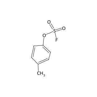 Cc1ccc(OS(=O)(=O)F)cc1